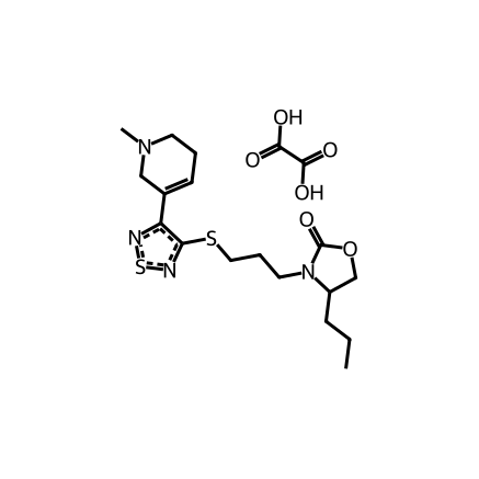 CCCC1COC(=O)N1CCCSc1nsnc1C1=CCCN(C)C1.O=C(O)C(=O)O